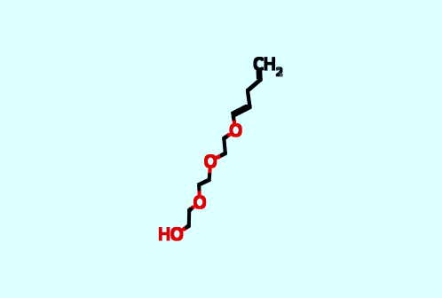 C=CCC=COCCOCCOCCO